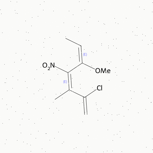 C=C(Cl)/C(C)=C(\C(=C/C)OC)[N+](=O)[O-]